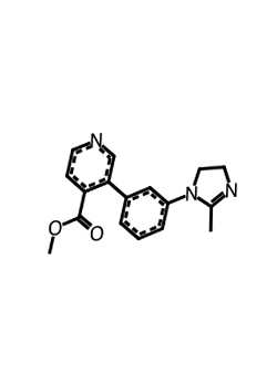 COC(=O)c1ccncc1-c1cccc(N2CCN=C2C)c1